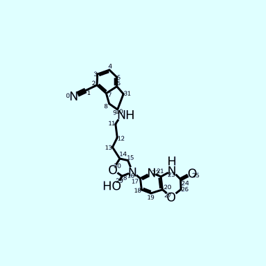 N#Cc1cccc2c1CC(NCCCC1CN(c3ccc4c(n3)NC(=O)CO4)C(O)O1)C2